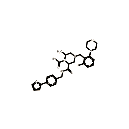 CC(C)C(=O)N1C(C)CN(Cc2c(F)cccc2N2CCOCC2)CC1C(=O)NCc1ccc(-c2ccco2)cc1